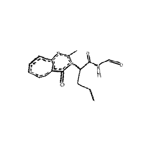 CCCC(C(=O)NC=O)n1c(C)nc2ccccc2c1=O